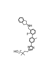 Cc1cc(-c2ncn(CCC(C)(C)C(=O)O)n2)ccc1-c1cccc(CNC2Cc3ccccc3C2)c1F